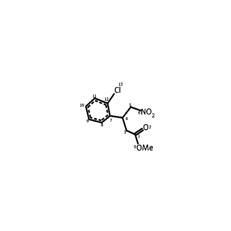 COC(=O)CC(C[N+](=O)[O-])c1ccccc1Cl